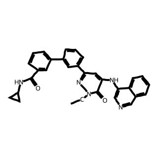 CCn1nc(-c2cccc(-c3cccc(C(=O)NC4CC4)c3)c2)cc(Nc2cncc3ccccc23)c1=O